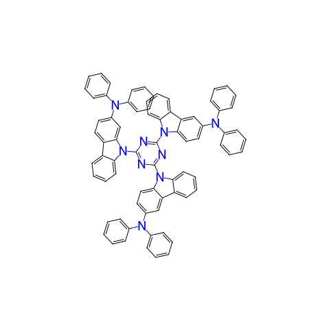 c1ccc(N(c2ccccc2)c2ccc3c(c2)c2ccccc2n3-c2nc(-n3c4ccccc4c4cc(N(c5ccccc5)c5ccccc5)ccc43)nc(-n3c4ccccc4c4ccc(N(c5ccccc5)c5ccccc5)cc43)n2)cc1